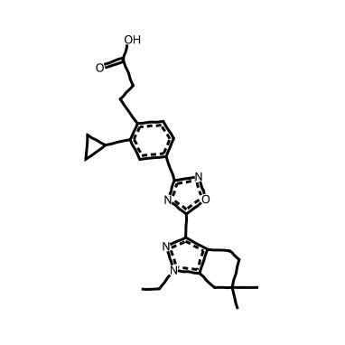 CCn1nc(-c2nc(-c3ccc(CCC(=O)O)c(C4CC4)c3)no2)c2c1CC(C)(C)CC2